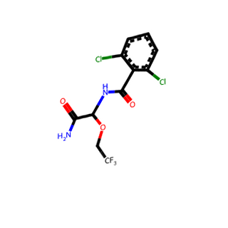 NC(=O)C(NC(=O)c1c(Cl)cccc1Cl)OCC(F)(F)F